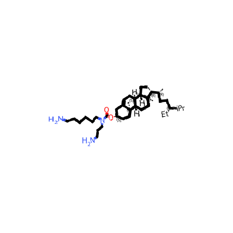 CC[C@H](CC[C@@H](C)[C@H]1CC[C@H]2[C@@H]3CC=C4C[C@@H](OC(=O)N(CCCN)CCCCCCN)CC[C@]4(C)[C@H]3CC[C@]12C)C(C)C